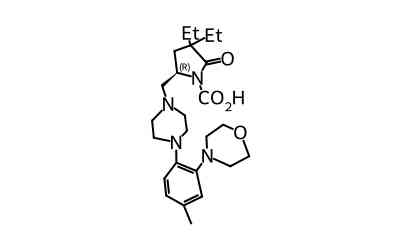 CCC1(CC)C[C@H](CN2CCN(c3ccc(C)cc3N3CCOCC3)CC2)N(C(=O)O)C1=O